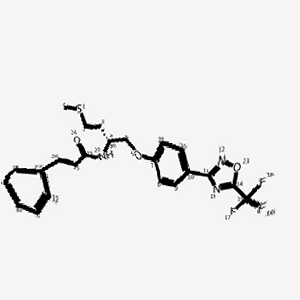 CSCC[C@H](COc1ccc(-c2noc(C(F)(F)F)n2)cc1)NC(=O)C=Cc1ccccc1